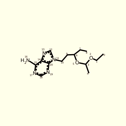 CCOC(C)OC(CC)CCn1cnc2c(N)ncnc21